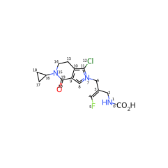 O=C(O)NCC(=CF)Cn1cc2c(c1Cl)CCN(C1CC1)C2=O